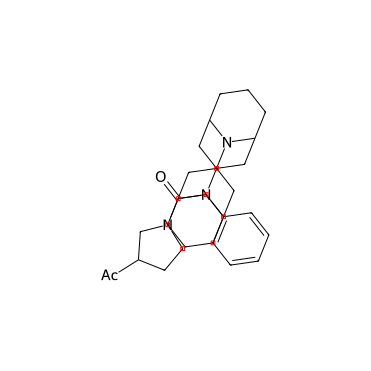 CC(=O)C1CCN(C(=O)N(c2ccccc2)C2CC3CCCC(C2)N3C2CC3CCCC(C3)C2)C1